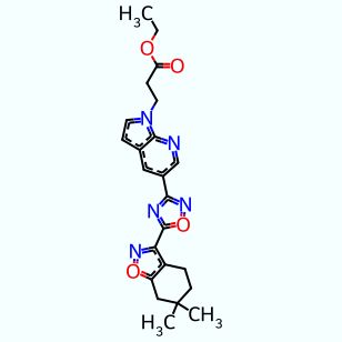 CCOC(=O)CCn1ccc2cc(-c3noc(-c4noc5c4CCC(C)(C)C5)n3)cnc21